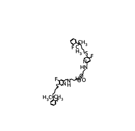 CC(C)(CCCCSc1cnc(CNCCCO[PH](=O)OCCCNCc2cc(F)c(SCCCCC(C)(C)c3ccccc3F)cn2)cc1F)c1ccccc1F